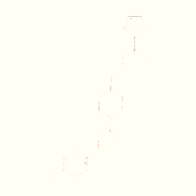 O=C(CCCC1CCN(C(=O)COc2ccc(Cl)cc2)CC1)c1ncco1